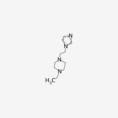 CCN1CCN(CCn2ccnc2)CC1